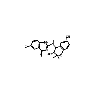 CC1(C)Oc2ccc(C#N)cc2C(Nc2nc(=O)c3cc(Cl)ccc3[nH]2)C1O